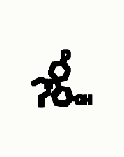 C=CCN(CC)C1(c2cccc(O)c2)CCC(=O)CC1